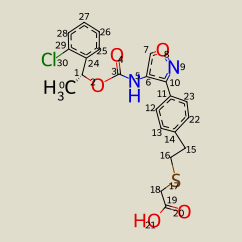 C[C@@H](OC(=O)Nc1conc1-c1ccc(CCSCC(=O)O)cc1)c1ccccc1Cl